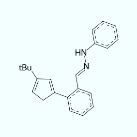 CC(C)(C)C1=CCC(c2ccccc2/C=N/Nc2ccccc2)=C1